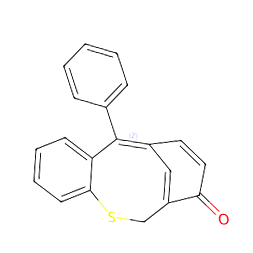 O=C1C=C/C2=C(\c3ccccc3)c3ccccc3SCC1=C2